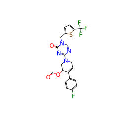 O=COC1CN(c2ncn(Cc3ccc(C(F)(F)F)s3)c(=O)n2)CC=C1c1ccc(F)cc1